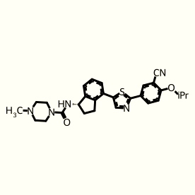 CC(C)Oc1ccc(-c2ncc(-c3cccc4c3CC[C@@H]4NC(=O)N3CCN(C)CC3)s2)cc1C#N